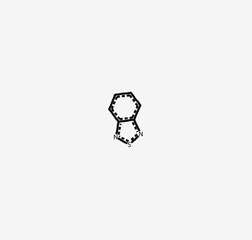 [c]1ccc2nsnc2c1